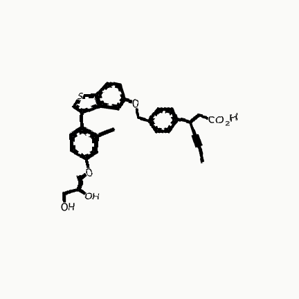 CC#CC(CC(=O)O)c1ccc(COc2ccc3scc(-c4ccc(OCC(O)CO)cc4C)c3c2)cc1